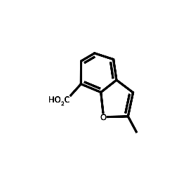 Cc1cc2cccc(C(=O)O)c2o1